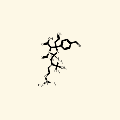 C=CCC1(c2ccc(CBr)cc2)S[C@@H]2[C@H]([C@H](CCO[SiH](C)C)C(C)(C)C)C(=O)N2C1C(=O)O